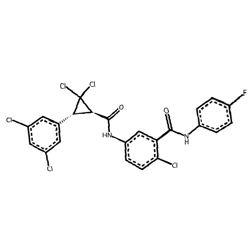 O=C(Nc1ccc(F)cc1)c1cc(NC(=O)[C@H]2[C@H](c3cc(Cl)cc(Cl)c3)C2(Cl)Cl)ccc1Cl